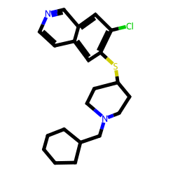 Clc1cc2cnccc2cc1SC1CCN(CC2CCCCC2)CC1